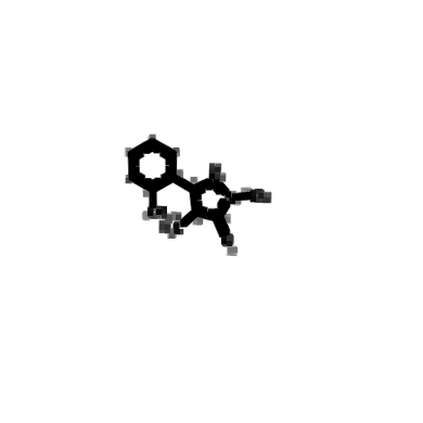 Cc1ccccc1-c1[nH]n(C(C)(C)C)c(=O)c1C